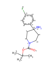 CC(C)(C)OC(=O)N1CCC(N)(c2ccc(F)cc2)CC1